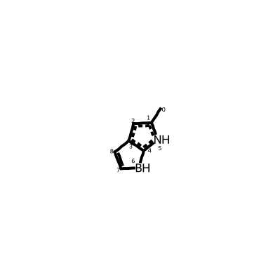 Cc1cc2c([nH]1)BC=C2